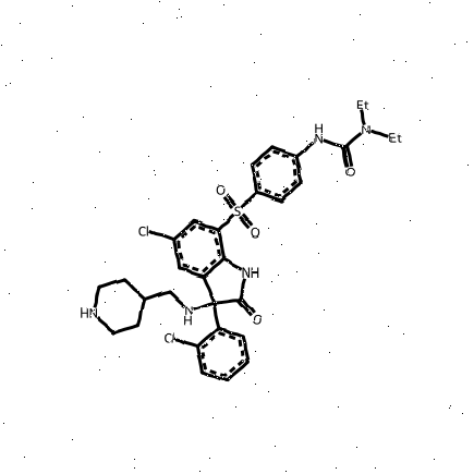 CCN(CC)C(=O)Nc1ccc(S(=O)(=O)c2cc(Cl)cc3c2NC(=O)C3(NCC2CCNCC2)c2ccccc2Cl)cc1